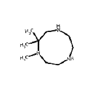 CN1CCNCCNCC1(C)C